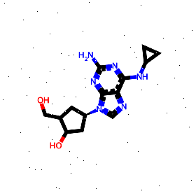 Nc1nc(NC2CC2)c2ncn([C@H]3CC(O)C(CO)C3)c2n1